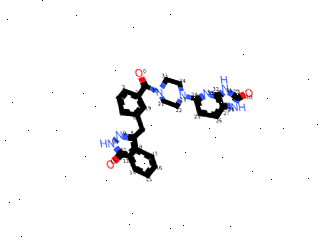 O=C(c1cccc(Cc2n[nH]c(=O)c3ccccc23)c1)N1CCN(c2ccc3[nH]c(=O)[nH]c3n2)CC1